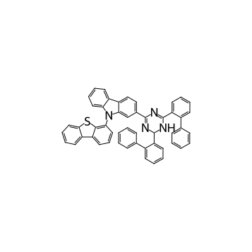 c1ccc(-c2ccccc2C2=NC(c3ccc4c5ccccc5n(-c5cccc6c5sc5ccccc56)c4c3)=NC(c3ccccc3-c3ccccc3)N2)cc1